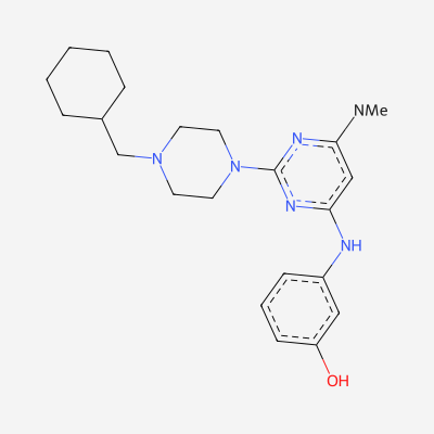 CNc1cc(Nc2cccc(O)c2)nc(N2CCN(CC3CCCCC3)CC2)n1